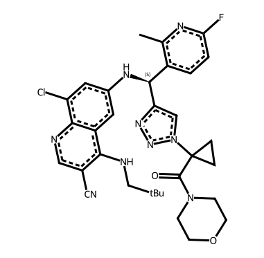 Cc1nc(F)ccc1[C@H](Nc1cc(Cl)c2ncc(C#N)c(NCC(C)(C)C)c2c1)c1cn(C2(C(=O)N3CCOCC3)CC2)nn1